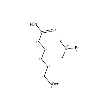 CCCCCCCCCCCCCC(N)=O.CCN(C)C